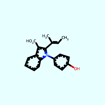 C/C=C(\C)c1c(C(=O)O)c2ccccc2n1-c1ccc(O)cc1